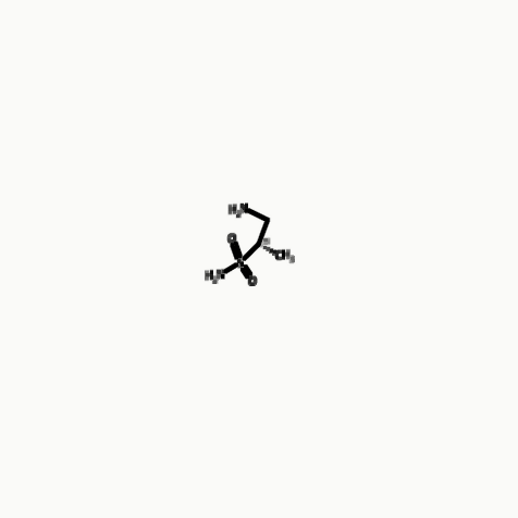 C[C@@H](CN)S(N)(=O)=O